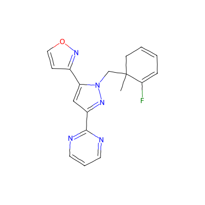 CC1(Cn2nc(-c3ncccn3)cc2-c2ccon2)CC=CC=C1F